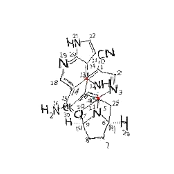 N#Cc1cnc(N2[C@@H]3CC[C@H]2C[C@H](Nc2c(C(N)=O)cnc4[nH]ccc24)C3)c(Cl)c1